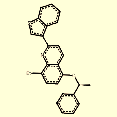 CCc1ccc(O[C@@H](C)c2ccccc2)c2ccc(-c3csc4ccccc34)nc12